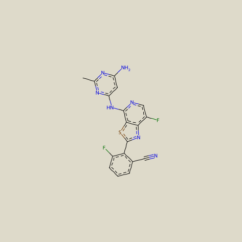 Cc1nc(N)cc(Nc2ncc(F)c3nc(-c4c(F)cccc4C#N)sc23)n1